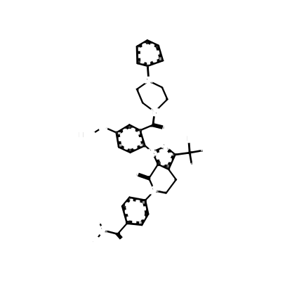 COc1ccc(-n2nc(C(F)(F)F)c3c2C(=O)N(c2ccc(C(=O)N(C)C)cc2)CC3)c(C(=O)N2CCN(c3ccccc3)CC2)c1